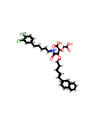 O=C(O)COC(C(=O)O)C(OCCCCCc1ccc2ccccc2c1)C(=O)NCCCCCc1ccc(Cl)c(Cl)c1